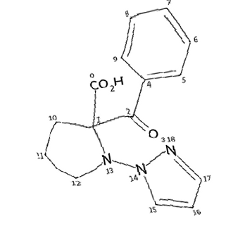 O=C(O)C1(C(=O)c2ccccc2)CCCN1n1cccn1